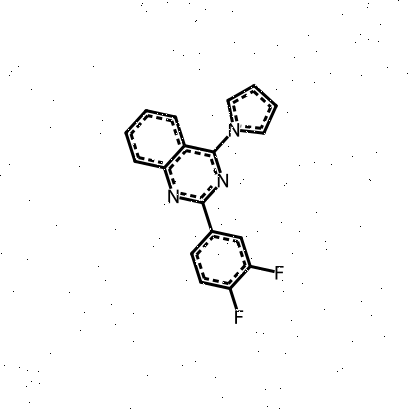 Fc1ccc(-c2nc(-n3cccc3)c3ccccc3n2)cc1F